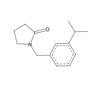 CC(C)c1cccc(CN2CCCC2=O)c1